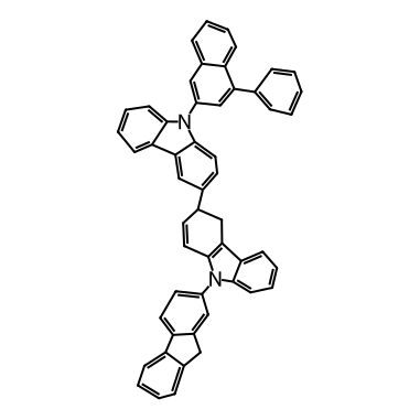 C1=CC(c2ccc3c(c2)c2ccccc2n3-c2cc(-c3ccccc3)c3ccccc3c2)Cc2c1n(-c1ccc3c(c1)Cc1ccccc1-3)c1ccccc21